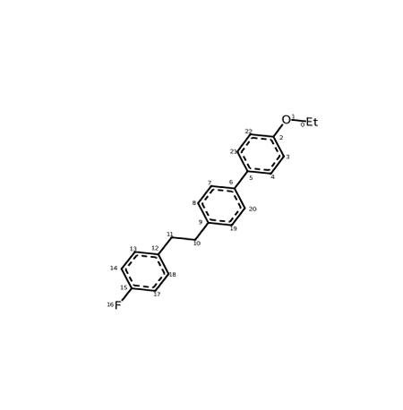 CCOc1ccc(-c2ccc(CCc3ccc(F)cc3)cc2)cc1